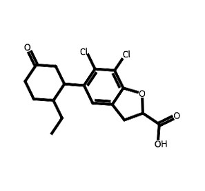 CCC1CCC(=O)CC1c1cc2c(c(Cl)c1Cl)OC(C(=O)O)C2